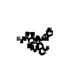 CC(Nc1ncnc(N)c1C#N)c1nc2cccc(F)c2cc1C(=O)NCc1cccnc1